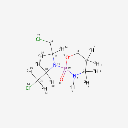 [2H]N1C([2H])([2H])C([2H])([2H])COP1(=O)N(C([2H])([2H])CCl)C([2H])([2H])C([2H])([2H])Cl